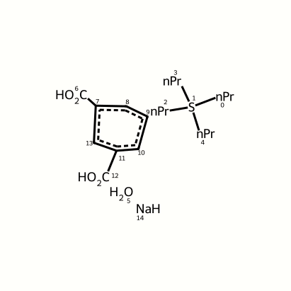 CCCS(CCC)(CCC)CCC.O.O=C(O)c1cccc(C(=O)O)c1.[NaH]